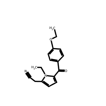 CCOc1ccc(C(=O)c2ccc(CC#N)n2CC)cc1